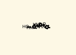 Cc1ccc(NC(=O)c2ccc3[nH]c(-c4c(C)cc(NCCO)cc4C)nc3c2)cc1C